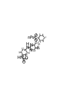 CCCS(=O)(=O)c1ccccc1CCc1nc(Nc2ccc3[nH]c(=O)oc3c2)ncc1F